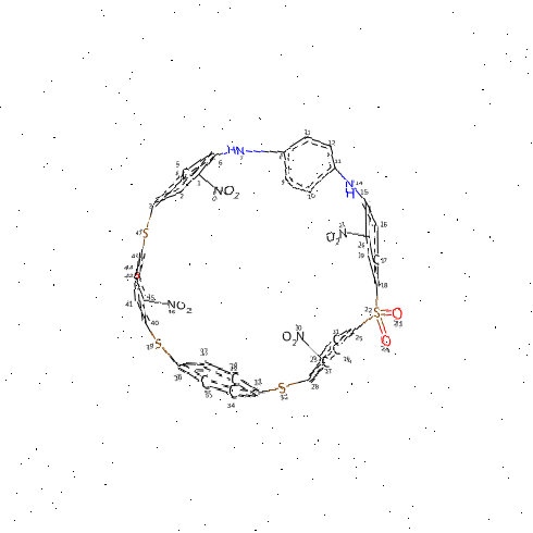 O=[N+]([O-])c1cc2ccc1Nc1ccc(cc1)Nc1ccc(cc1[N+](=O)[O-])S(=O)(=O)c1ccc(c([N+](=O)[O-])c1)Sc1ccc(cc1)Sc1ccc(cc1[N+](=O)[O-])S2